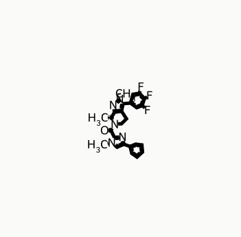 C[C@H]1c2nn(C)c(-c3cc(F)c(F)c(F)c3)c2CCN1C(=O)c1nc(-c2ccccc2)cn1C